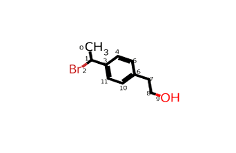 CC(Br)c1ccc(CCO)cc1